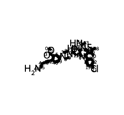 COC(=O)c1cc(N2CCN(C(=O)C[C@@H]3N=C(c4ccc(Cl)cc4)c4c(sc(C)c4C)N(C(C)=N)C3=N)CC2)ccc1C#CCCN